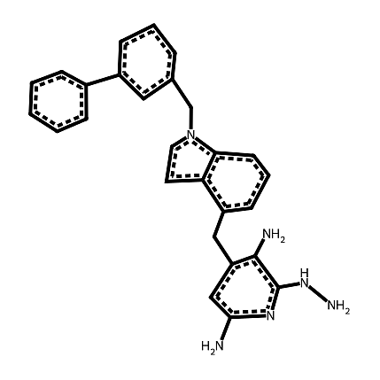 NNc1nc(N)cc(Cc2cccc3c2ccn3Cc2cccc(-c3ccccc3)c2)c1N